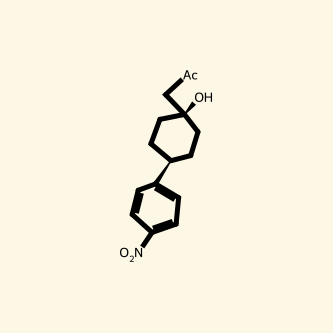 CC(=O)C[C@]1(O)CC[C@@H](c2ccc([N+](=O)[O-])cc2)CC1